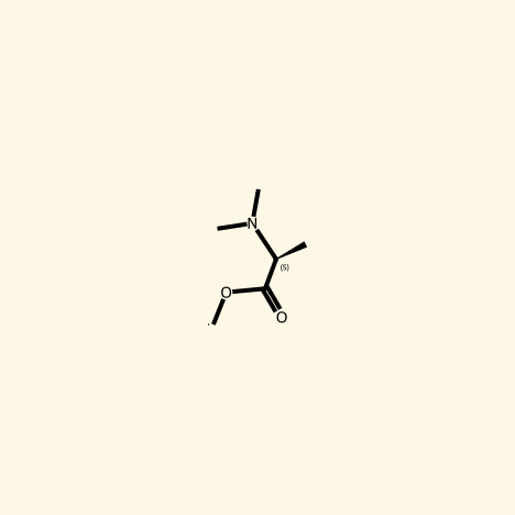 [CH2]OC(=O)[C@H](C)N(C)C